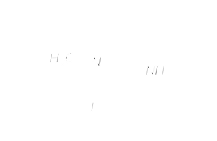 CN1CCNCC1.I